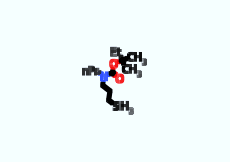 CCCN(CCC[SiH3])C(=O)OC(C)(C)CC